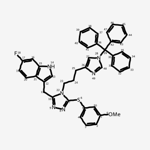 COc1cccc(Sc2nnc(Cc3c[nH]c4cc(F)ccc34)n2CCCc2cn(C(c3ccccc3)(c3ccccc3)c3ccccc3)cn2)c1